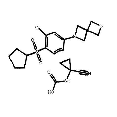 N#CC1(NC(=O)O)CC1.O=S(=O)(c1ccc(N2CC3(COC3)C2)cc1Cl)C1CCCC1